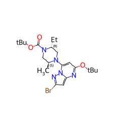 CC[C@@H]1CN(c2cc(OC(C)(C)C)nc3cc(Br)nn23)[C@@H](C)CN1C(=O)OC(C)(C)C